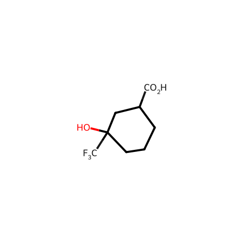 O=C(O)C1CCCC(O)(C(F)(F)F)C1